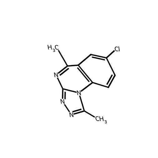 Cc1nc2nnc(C)n2c2ccc(Cl)cc12